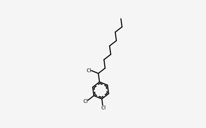 CCCCCCCCC(Cl)c1ccc(Cl)c(Cl)c1